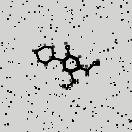 CNc1cc(N2CCOCC2)c(Cl)cc1NO